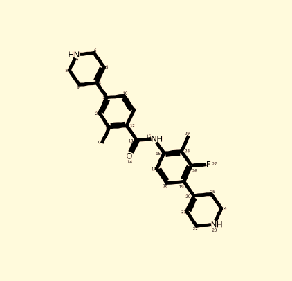 Cc1cc(C2=CCNCC2)ccc1C(=O)Nc1ccc(C2=CCNCC2)c(F)c1C